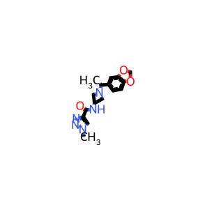 CC(c1ccc2c(c1)OCO2)N1CC(NC(=O)c2cn(C)nn2)C1